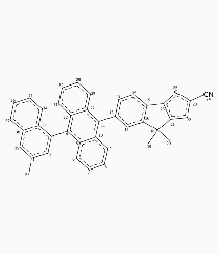 Cc1cc(-c2c3ccccc3c(-c3ccc4c(c3)C(C)(C)c3cc(C#N)sc3-4)c3ccccc23)c2ccccc2c1